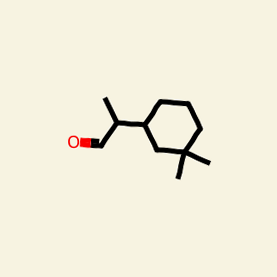 CC(C=O)C1CCCC(C)(C)C1